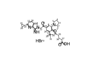 Br.CC1CCCN1c1cc(C(=O)CN2Cc3ccc(C4CC4)nc3C2=N)cc(C(C)(C)C)c1OCCCCC(=O)O